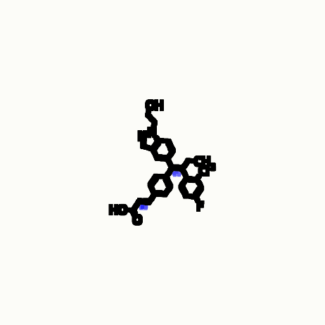 CC/C(=C(/c1ccc(/C=C/C(=O)O)cc1)c1ccc2c(cnn2CCO)c1)c1ccc(F)cc1Cl